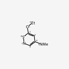 CCOC1=CC(NC)=C[N]S1